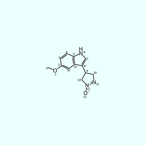 COc1ccc2[nH]cc(C3CN=[N+]([O-])C3)c2c1